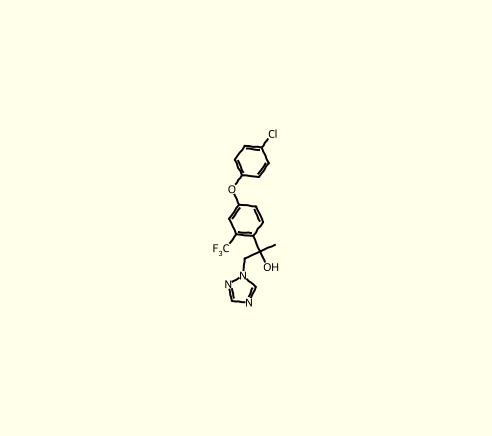 CC(O)(Cn1cncn1)c1ccc(Oc2ccc(Cl)cc2)cc1C(F)(F)F